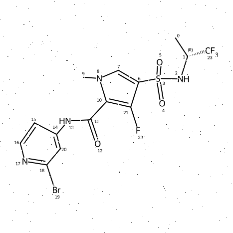 C[C@@H](NS(=O)(=O)c1cn(C)c(C(=O)Nc2ccnc(Br)c2)c1F)C(F)(F)F